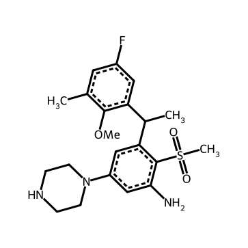 COc1c(C)cc(F)cc1C(C)c1cc(N2CCNCC2)cc(N)c1S(C)(=O)=O